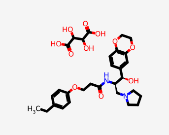 CCc1ccc(OCCC(=O)N[C@H](CN2CCCC2)[C@H](O)c2ccc3c(c2)OCCO3)cc1.O=C(O)C(O)C(O)C(=O)O